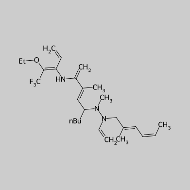 C=C/C(NC(=C)/C(C)=C/C(CCCC)N(C)N(C=C)C/C(C)=C/C=C\C)=C(\OCC)C(F)(F)F